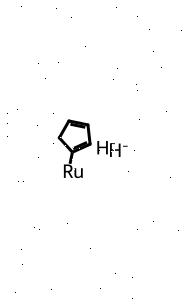 [H-].[H-].[Ru][C]1=CC=CC1